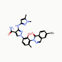 Cc1ccc(-n2cc(C(N)=O)c(Nc3cc(C)n(C)n3)n2)c(O)c1-n1ncc2cc(C(C)(C)C)ccc2c1=O